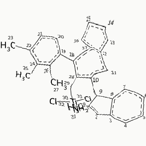 CC1=Cc2ccccc2C1c1cc2ccccc2c(-c2ccc(C)c(C)c2C)c1[CH2][Ti]([NH2])([Cl])[Cl]